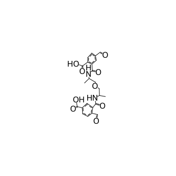 CC(COCC(C)NC(=O)c1cc(C=O)ccc1C(=O)O)NC(=O)c1cc(C(=O)O)ccc1C=O